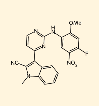 COc1cc(F)c([N+](=O)[O-])cc1Nc1nccc(-c2c(C#N)n(C)c3ccccc23)n1